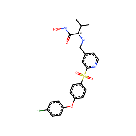 CC(C)[C@@H](NCc1ccnc(S(=O)(=O)c2ccc(Oc3ccc(Cl)cc3)cc2)c1)C(=O)NO